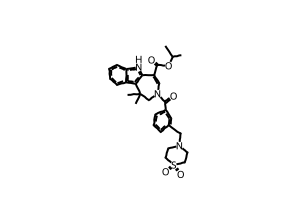 CC(C)OC(=O)C1=CN(C(=O)c2cccc(CN3CCS(=O)(=O)CC3)c2)CC(C)(C)c2c1[nH]c1ccccc21